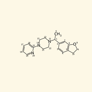 CC(c1ccc2c(c1)OCC2)N1CCN(c2cc[c]cn2)CC1